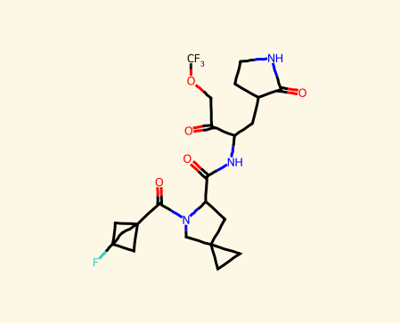 O=C1NCCC1CC(NC(=O)C1CC2(CC2)CN1C(=O)C12CC(F)(C1)C2)C(=O)COC(F)(F)F